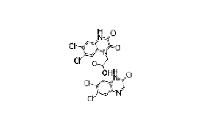 O=C(O)Cn1c(=O)c(=O)[nH]c2cc(Cl)c(Cl)cc21.O=c1cnc2cc(Cl)c(Cl)cc2[nH]1